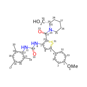 COc1ccc(-c2cc(NC(=O)Nc3c(C)cc(C)cc3C)c(C(=O)N3CCCC[C@H]3C(=O)O)s2)cc1